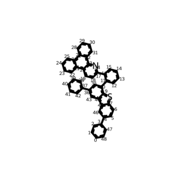 c1ccc(-c2ccc3sc4c(-c5ccccc5-c5ccc6c7ccccc7c7ccccc7c6n5)cc(-c5ccccc5)cc4c3c2)cc1